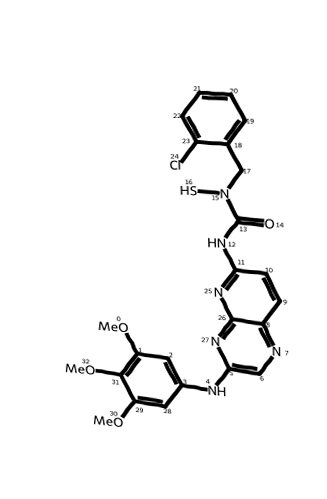 COc1cc(Nc2cnc3ccc(NC(=O)N(S)Cc4ccccc4Cl)nc3n2)cc(OC)c1OC